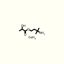 CC(O)C(=O)OCCC(C)(C)N.[GeH4]